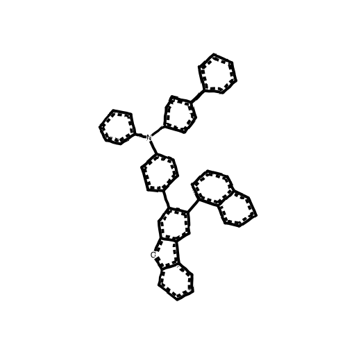 c1ccc(-c2ccc(N(c3ccccc3)c3ccc(-c4cc5oc6ccccc6c5cc4-c4cccc5ccccc45)cc3)cc2)cc1